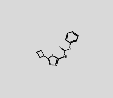 O=C(Nc1ncc(C2CCC2)s1)Oc1ccccc1